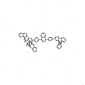 c1ccc(-n2c3ccccc3c3ccc(-c4ccc(-c5ccc(-c6ccc(-c7cc8c9ccc%10ccccc%10c9sc8c8nc9cc%10ccccc%10cc9n78)cc6)c6ccccc56)cc4)cc32)cc1